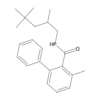 Cc1cccc(-c2ccccc2)c1C(=O)PCC(C)CC(C)(C)C